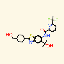 CC(C)(O)c1cc2nc(C3CCC(CO)CC3)sc2cc1NC(=O)c1cccc(C(C)(F)F)n1